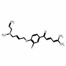 C=CCN(C)CC=CCOc1ccc(C(=O)C=CC=C(C)C)cc1F